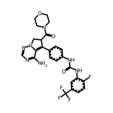 NC1=NC=NN2CC(C(=O)N3CCOCC3)C(c3ccc(NC(=O)Nc4cc(C(F)(F)F)ccc4F)cc3)=C12